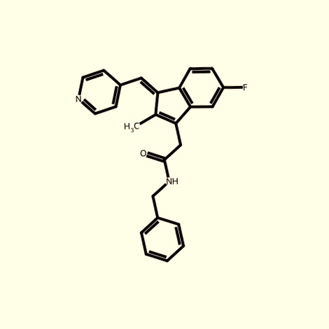 CC1=C(CC(=O)NCc2ccccc2)c2cc(F)ccc2C1=Cc1ccncc1